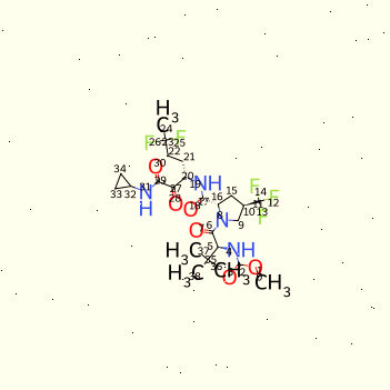 COC(=O)N[C@H](C(=O)N1C[C@H](C(F)(F)F)C[C@H]1C(=O)N[C@@H](CCC(C)(F)F)C(=O)C(=O)NC1CC1)C(C)(C)C